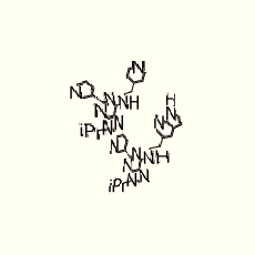 CC(C)n1cnc2c(NCCc3ccncc3)nc(-c3cccnc3)nc21.CC(C)n1cnc2c(NCCc3cnc4[nH]ccc4c3)nc(-c3cccnc3)nc21